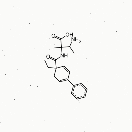 CCC1(C(=O)NC(C)(C(=O)O)C(C)N)C=CC(c2ccccc2)=CC1